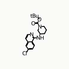 CC(C)(C)OC(=O)N1CCC[C@@H](Nc2nccc3cc(Cl)ccc23)C1